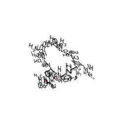 CC[C@H](C)[C@@H]1NC(=O)[C@@H](CCCNC(=N)N)NC(=O)[C@H](CC(C)C)NC(=O)[C@H]([C@H](O)C(C)C)NC(=O)[C@@H](NC(=O)[C@H](CC(C)(C)C)NC(=O)[C@H](N)CC(C)(C)C)[C@@H](c2ccc(N(C)C)cc2)NC(=O)[C@H](CO)NC(=O)[C@H]([C@H](O)C(N)=O)NC(=O)CNC(=O)[C@H]([C@H](C)O)NC1=O